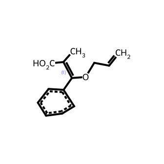 C=CCO/C(=C(\C)C(=O)O)c1ccccc1